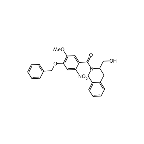 COc1cc(C(=O)N2Cc3ccccc3CC2CO)c([N+](=O)[O-])cc1OCc1ccccc1